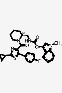 Cn1cc(OC(=O)NC[C@@H]2CCCCN2C(=O)c2nc(C3CC3)sc2-c2ccc(F)cc2)c2ccccc21